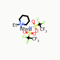 CCCCC[N+]1(CC)CCCCC1.O=S(=O)([N-]S(=O)(=O)C(F)(F)C(F)(F)F)C(F)(F)C(F)(F)F